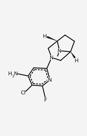 CN1[C@@H]2CC[C@H]1CN(c1cc(N)c(Cl)c(F)n1)C2